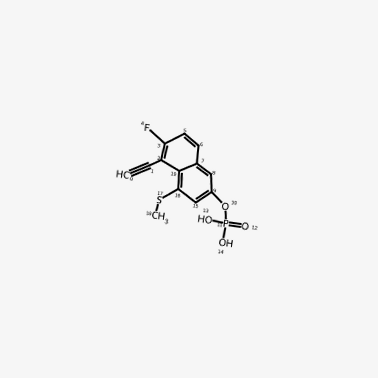 C#Cc1c(F)ccc2cc(OP(=O)(O)O)cc(SC)c12